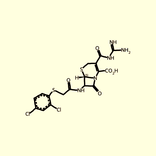 N=C(N)NC(=O)C1=C(C(=O)O)N2C(=O)C(NC(=O)CSc3ccc(Cl)cc3Cl)[C@@H]2SC1